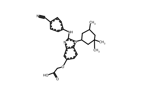 CC1CC(n2c(Nc3ccc(C#N)cc3)nc3cc(OCC(=O)O)ccc32)CC(C)(C)C1